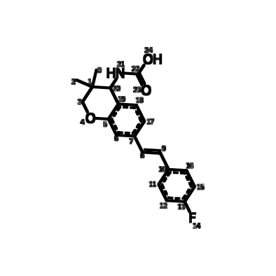 CC1(C)COc2cc(/C=C/c3ccc(F)cc3)ccc2C1NC(=O)O